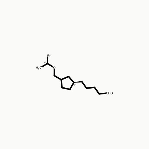 CC(C)[C@H](C)OCC1CC[C@H](CCCCC=O)C1